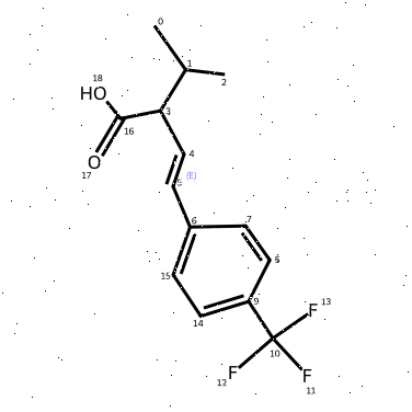 CC(C)C(/C=C/c1ccc(C(F)(F)F)cc1)C(=O)O